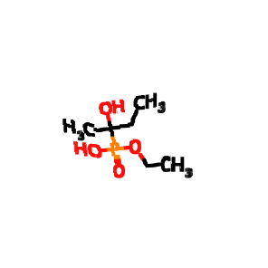 CCOP(=O)(O)C(C)(O)CC